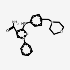 NC(=O)c1cn(-c2ccccc2)nc1Nc1ccc(CN2CCOCC2)cc1